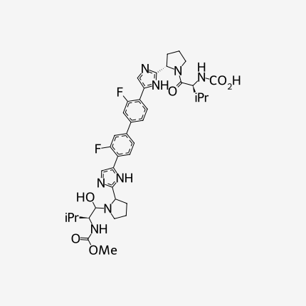 COC(=O)N[C@@H](C(C)C)C(O)N1CCCC1c1ncc(-c2ccc(-c3ccc(-c4cnc([C@@H]5CCCN5C(=O)[C@@H](NC(=O)O)C(C)C)[nH]4)c(F)c3)cc2F)[nH]1